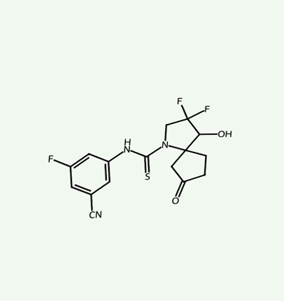 N#Cc1cc(F)cc(NC(=S)N2CC(F)(F)C(O)C23CCC(=O)C3)c1